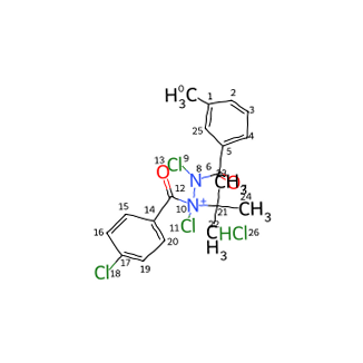 Cc1cccc(C(=O)N(Cl)[N+](Cl)(C(=O)c2ccc(Cl)cc2)C(C)(C)C)c1.Cl